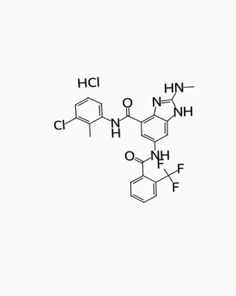 CNc1nc2c(C(=O)Nc3cccc(Cl)c3C)cc(NC(=O)c3ccccc3C(F)(F)F)cc2[nH]1.Cl